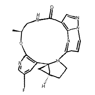 C[C@H]1CNC(=O)c2cnn3ccc(nc23)N2CC[C@H]3C[C@]32c2cc(F)cnc2O1